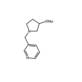 COC1CCN(Cc2[c]nccc2)C1